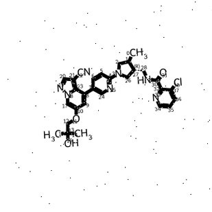 CC1CN(c2ccc(-c3cc(OCC(C)(C)O)cn4ncc(C#N)c34)cn2)C[C@H]1CNC(=O)c1ncccc1Cl